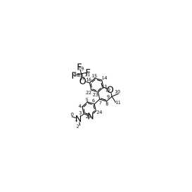 CN(C)c1ccc(C2=CC(C)(C)Oc3ccc(OC(F)(F)F)cc32)cn1